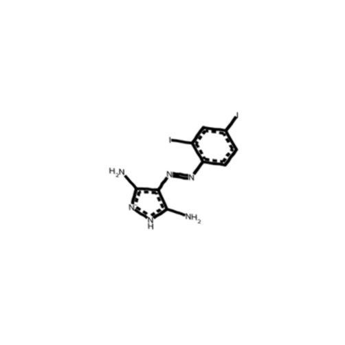 Nc1n[nH]c(N)c1N=Nc1ccc(I)cc1I